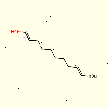 CCCCC=CCCCCCC/C=C/O